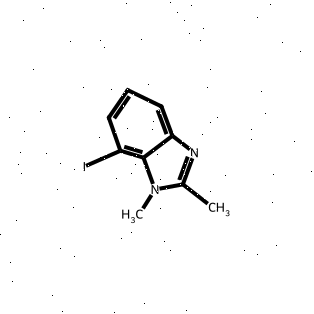 Cc1nc2cccc(I)c2n1C